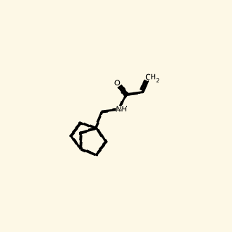 C=CC(=O)NCC12CCC(CC1)C2